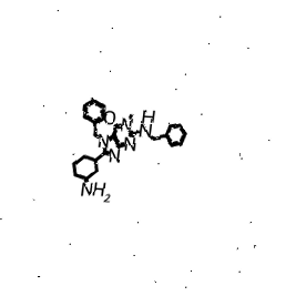 Cn1c(NCc2ccccc2)nc2nc(C3CCCC(N)C3)n(Cc3ccccc3)c2c1=O